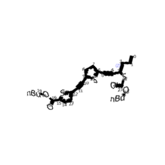 C=C/C=C(/C#Cc1ccc(C#Cc2ccc(C(=O)OCCCC)s2)s1)SC(=O)OCCCC